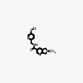 CCSc1ccc(CNC(=O)c2cnc3c(c2)CN(C)C3)nc1